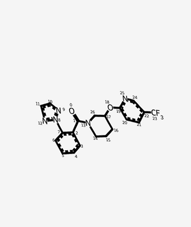 O=C(c1ccccc1-n1nccn1)N1CCCC(Oc2ccc(C(F)(F)F)cn2)C1